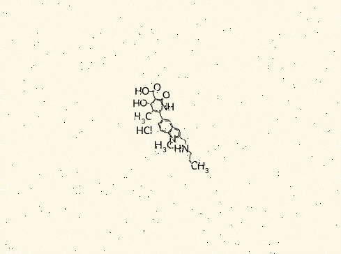 CCCNCc1cc2cc(-c3[nH]c(=O)c(C(=O)O)c(O)c3C)ccc2n1C.Cl